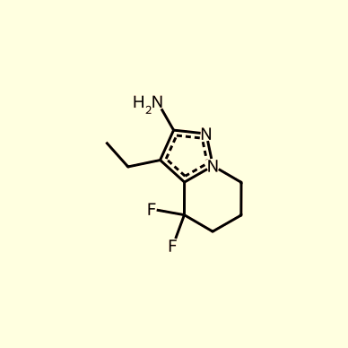 CCc1c(N)nn2c1C(F)(F)CCC2